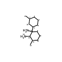 CC1CCCC(C2(N)CCCC(C)C2N)C1